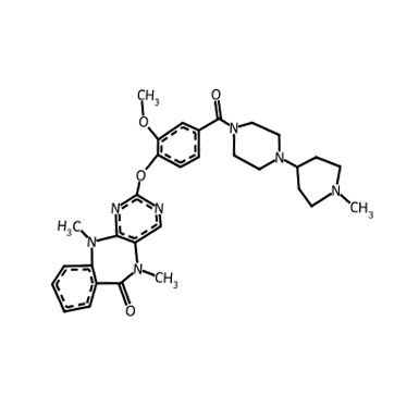 COc1cc(C(=O)N2CCN(C3CCN(C)CC3)CC2)ccc1Oc1ncc2c(n1)N(C)c1ccccc1C(=O)N2C